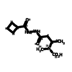 CC(CC(=O)NNC(=O)C1CCC1)N(C)C(=O)O